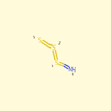 N=S=S=S